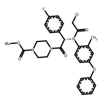 Cc1cc(Oc2ccccc2)ccc1N(C(=O)CCl)[C@H](C(=O)N1CCN(C(=O)OC(C)(C)C)CC1)c1ccc(F)cc1